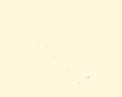 C/C=C1\[C@@H]2C=C(C)CC1(N)c1ccc(OC(=O)[N+]3(CC)CCN(c4cc(-c5ccc(C)cc5)c5c(n4)CCCCCC5)CC3)nc1C2